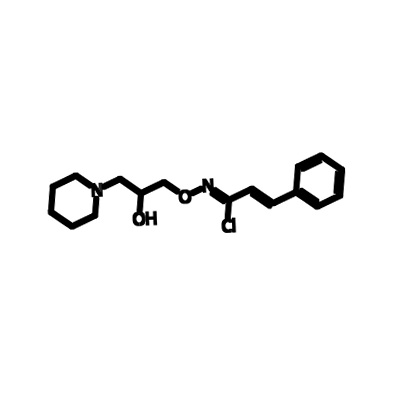 OC(CO/N=C(Cl)/C=C/c1ccccc1)CN1CCCCC1